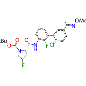 CO/N=C(\C)c1ccc(Cl)c(-c2cccc(NC(=O)[C@@H]3C[C@@H](F)CN3C(=O)OC(C)(C)C)c2F)c1